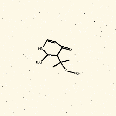 CC(C)(C)C1NC=CC(=O)C1C(C)(C)SS